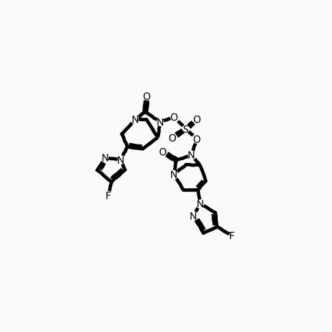 O=C1N2CC(n3cc(F)cn3)=CC(C2)N1OS(=O)(=O)ON1C(=O)N2CC(n3cc(F)cn3)=CC1C2